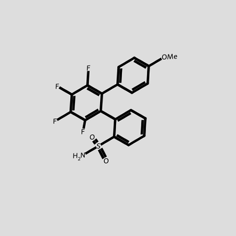 COc1ccc(-c2c(F)c(F)c(F)c(F)c2-c2ccccc2S(N)(=O)=O)cc1